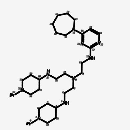 CC(C)N1CCC(NCCN(CCNc2nccc(N3CCCCCC3)n2)CCNC2CCN(C(C)C)CC2)CC1